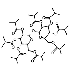 CC(C)C(=O)OCC1O[C@H](O[C@@H]2OC(COC(=O)C(C)C)[C@H](OC(=O)C(C)C)C(OC(=O)C(C)C)C2OC(=O)C(C)C)C(OC(=O)C(C)C)C(OC(=O)C(C)C)[C@@H]1OC(=O)C(C)C